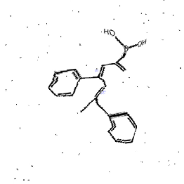 C=C(/C=C(\C=C(/C)c1ccccc1)c1ccccc1)B(O)O